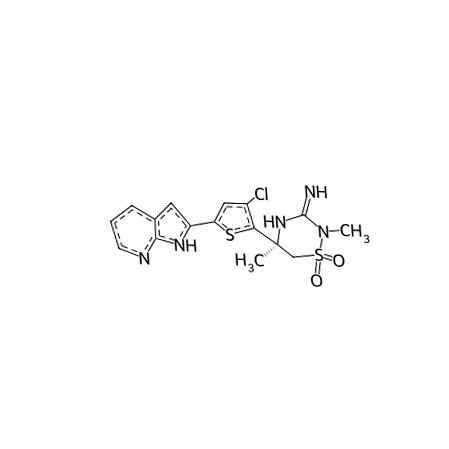 CN1C(=N)N[C@](C)(c2sc(-c3cc4cccnc4[nH]3)cc2Cl)CS1(=O)=O